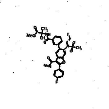 CNC(=O)c1c(-c2ccc(F)cc2)oc2cc(N(CCF)S(C)(=O)=O)c(-c3cccc(C(=O)NC(C)(C)C(=O)OC)c3)cc12